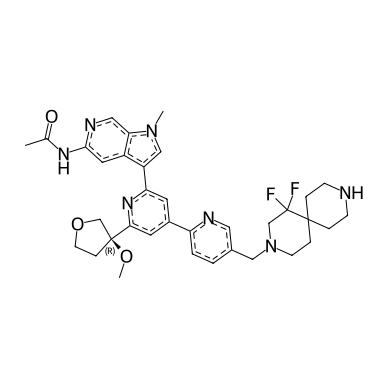 CO[C@@]1(c2cc(-c3ccc(CN4CCC5(CCNCC5)C(F)(F)C4)cn3)cc(-c3cn(C)c4cnc(NC(C)=O)cc34)n2)CCOC1